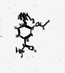 CCOc1cc(C(=O)NC)ccc1N